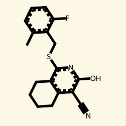 Cc1cccc(F)c1CSc1nc(O)c(C#N)c2c1CCCC2